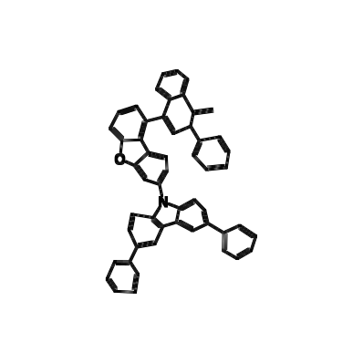 C=C1c2ccccc2C(c2cccc3oc4cc(-n5c6ccc(-c7ccccc7)cc6c6cc(-c7ccccc7)ccc65)ccc4c23)=CC1c1ccccc1